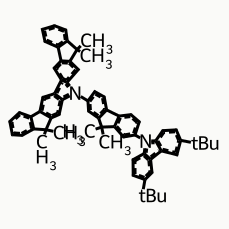 CC(C)(C)c1ccc2c(c1)c1cc(C(C)(C)C)ccc1n2-c1ccc2c(c1)C(C)(C)c1cc(-n3c4cc5c(cc4c4cc6c(cc43)C(C)(C)c3ccccc3-6)-c3ccccc3C5(C)C)ccc1-2